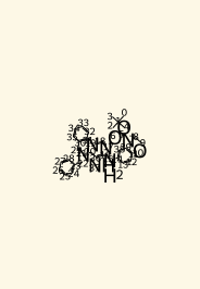 CC(C)(C)OC(=O)N1CCOc2ccc(Nc3ncnc(N(Cc4ccccc4)Cc4ccccc4)c3N)cc21